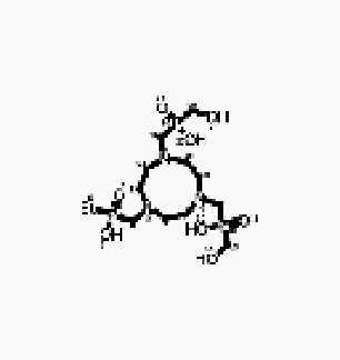 CCP(=O)(O)CN1CCN(CP(=O)(O)CO)CCN(CP(=O)(O)CO)CC1